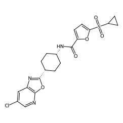 O=C(N[C@H]1CC[C@@H](c2nc3cc(Cl)cnc3o2)CC1)c1ccc(S(=O)(=O)C2CC2)o1